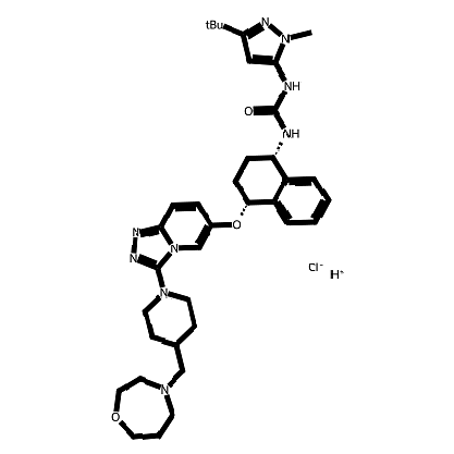 Cn1nc(C(C)(C)C)cc1NC(=O)N[C@H]1CC[C@@H](Oc2ccc3nnc(N4CCC(CN5CCCOCC5)CC4)n3c2)c2ccccc21.[Cl-].[H+]